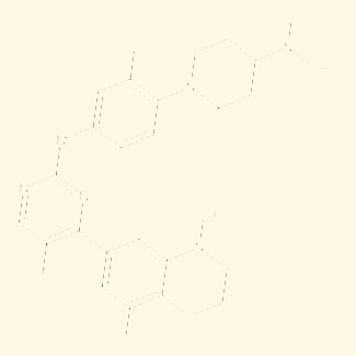 CC(C)N1CCSc2c(F)cc(-c3nc(Nc4ccc(N5CCC(N(C)C)CC5)c(F)c4)ncc3F)cc21